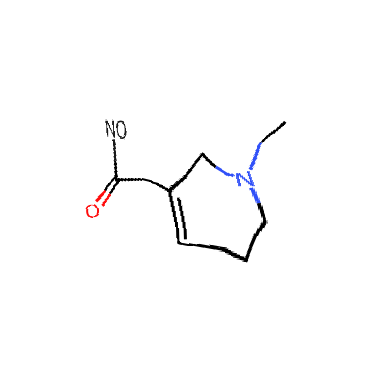 CN1CCC=C(C(=O)N=O)C1